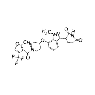 Cc1occ(C(F)(F)F)c1C(=O)N1CCC(Oc2cccc3c(C4CCC(=O)NC4=O)nn(C)c23)CC1